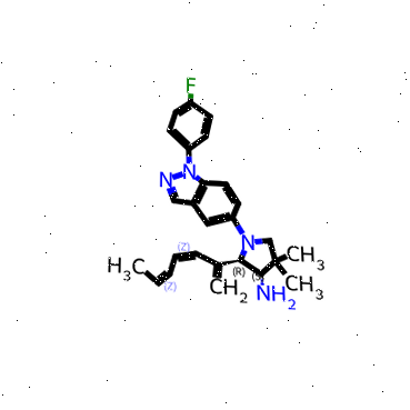 C=C(/C=C\C=C/C)[C@@H]1[C@@H](N)C(C)(C)CN1c1ccc2c(cnn2-c2ccc(F)cc2)c1